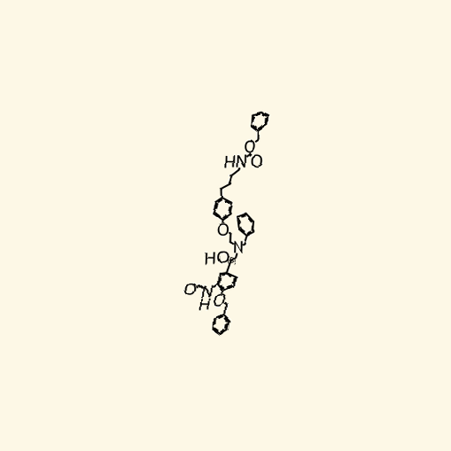 O=CNc1cc([C@H](O)CN(CCOc2ccc(CCCCNC(=O)OCc3ccccc3)cc2)Cc2ccccc2)ccc1OCc1ccccc1